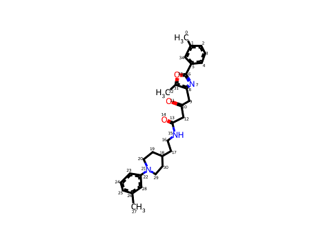 Cc1cccc(-c2nc(CC(=O)CC(=O)NCCC3CCN(c4cccc(C)c4)CC3)c(C)o2)c1